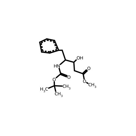 COC(=O)CC(O)C(Cc1ccccc1)NC(=O)OC(C)(C)C